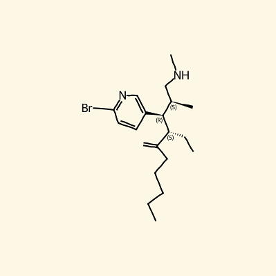 C=C(CCCCC)[C@@H](CC)[C@@H](c1ccc(Br)nc1)[C@H](C)CNC